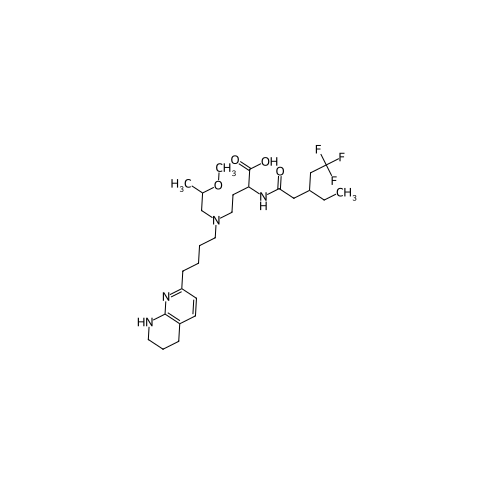 CCC(CC(=O)NC(CCN(CCCCc1ccc2c(n1)NCCC2)CC(C)OC)C(=O)O)CC(F)(F)F